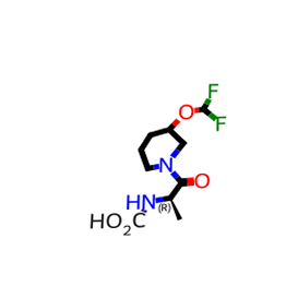 C[C@@H](NC(=O)O)C(=O)N1CCCC(OC(F)F)C1